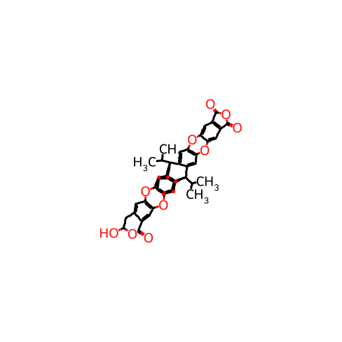 CC(C)C12c3ccccc3C(C(C)C)(c3cc4c(cc31)Oc1cc3c(cc1O4)C(=O)OC(O)C3)c1cc3oc4cc5c(=O)oc(=O)c5cc4oc3cc12